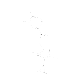 CCOC(=O)c1cn(CC(=O)c2ccc(Cl)c(F)c2)c(C(=O)OCC)c1C1CC1